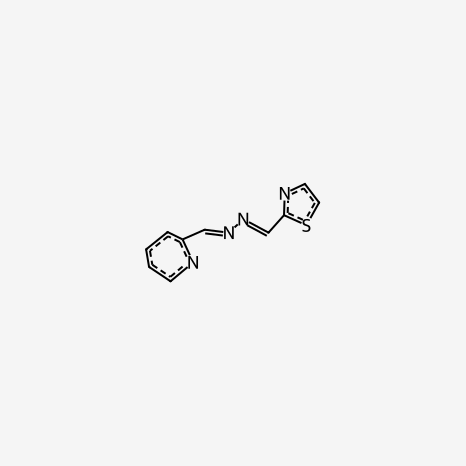 C(=N\N=C\c1nccs1)/c1ccccn1